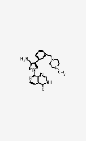 CN1CCN(Cc2cccc(-c3cn(-c4nccc5c(=O)[nH]cnc45)nc3N)c2)CC1